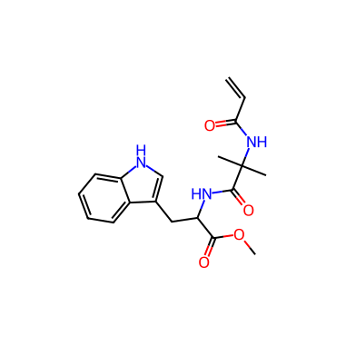 C=CC(=O)NC(C)(C)C(=O)NC(Cc1c[nH]c2ccccc12)C(=O)OC